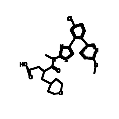 COc1ccc(-c2ccc(Cl)cc2-c2csc(N(C)C(=O)C(CC(=O)O)CC3CCOCC3)n2)cn1